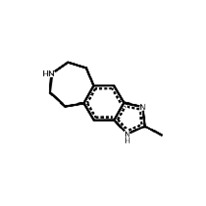 Cc1nc2cc3c(cc2[nH]1)CCNCC3